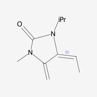 C=c1/c(=C\C)n(C(C)C)c(=O)n1C